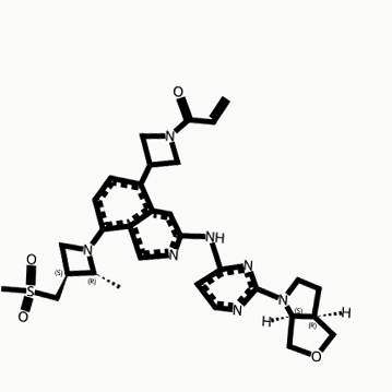 C=CC(=O)N1CC(c2ccc(N3C[C@H](CS(C)(=O)=O)[C@H]3C)c3cnc(Nc4ccnc(N5CC[C@H]6COC[C@H]65)n4)cc23)C1